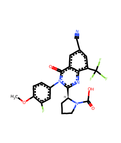 COc1ccc(-n2c([C@@H]3CCCN3C(=O)O)nc3c(C(F)(F)F)cc(C#N)cc3c2=O)cc1F